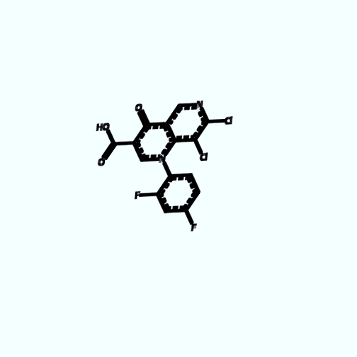 O=C(O)c1cn(-c2ccc(F)cc2F)c2c(Cl)c(Cl)ncc2c1=O